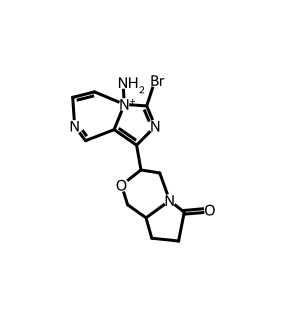 N[N+]12C=CN=CC1=C(C1CN3C(=O)CCC3CO1)N=C2Br